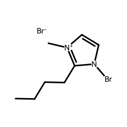 CCCCc1n(Br)cc[n+]1C.[Br-]